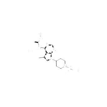 CC(C)(C)OC(=O)N(C(=O)O)c1ncnc2c1c(I)cn2C1CCN(S(C)(=O)=O)CC1